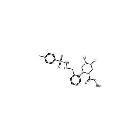 Cc1ccc(S(=O)(=O)NNCc2ccccc2C2CN(Cl)C(Cl)CN2C(=O)OC(C)(C)C)cc1